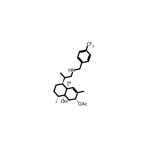 CC(=O)O[C@@H]1[CH][C@@]2(O)[C@H](C)CC[C@@H](C(C)CNCc3ccc(C(F)(F)F)cc3)[C@H]2C=C1C